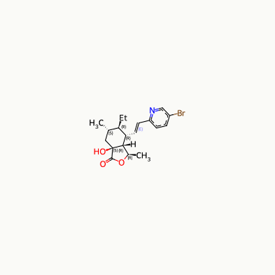 CC[C@H]1[C@H](/C=C/c2ccc(Br)cn2)[C@@H]2[C@@H](C)OC(=O)[C@]2(O)C[C@@H]1C